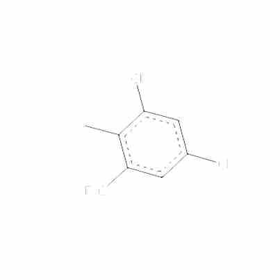 Cc1c(Cl)[c]c(Cl)cc1C(F)(F)F